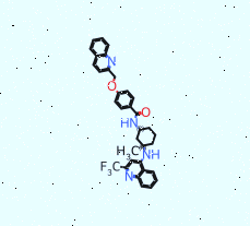 C[C@@]1(Nc2cc(C(F)(F)F)nc3ccccc23)CCC[C@@H](NC(=O)c2ccc(OCc3ccc4ccccc4n3)cc2)C1